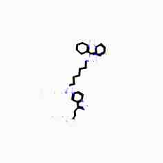 CC(=O)NCCc1c[nH]c2ccc(N(CCCCCCCNc3c4c(nc5ccc(Cl)cc35)CCCC4)C(=O)O)cc12